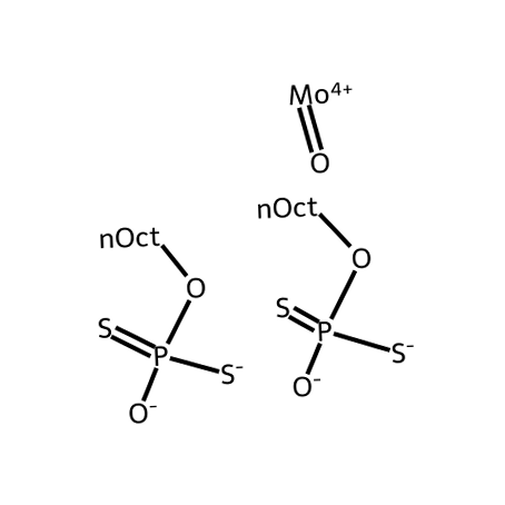 CCCCCCCCOP([O-])(=S)[S-].CCCCCCCCOP([O-])(=S)[S-].[O]=[Mo+4]